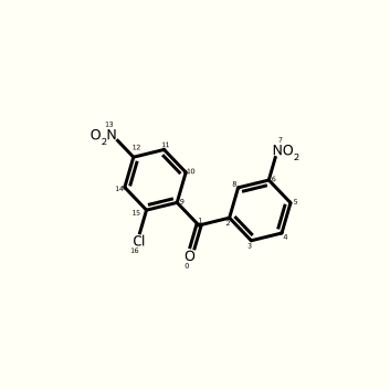 O=C(c1cccc([N+](=O)[O-])c1)c1ccc([N+](=O)[O-])cc1Cl